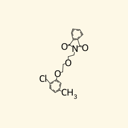 Cc1ccc(Cl)c(OCCOCCN2C(=O)c3ccccc3C2=O)c1